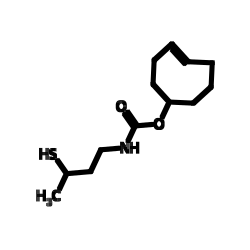 CC(S)CCNC(=O)OC1CC/C=C/CCC1